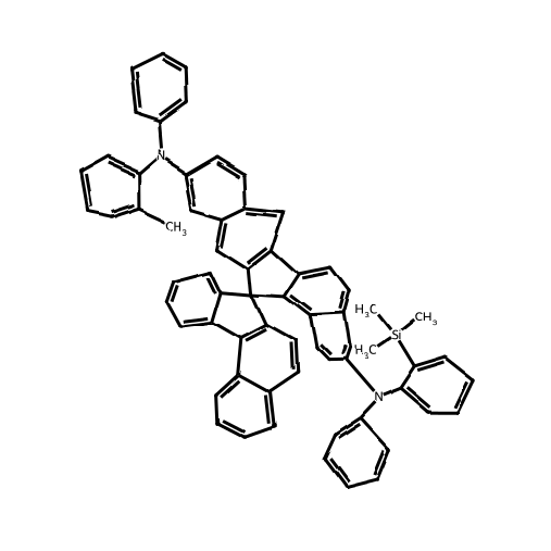 Cc1ccccc1N(c1ccccc1)c1ccc2cc3c(cc2c1)C1(c2ccccc2-c2c1ccc1ccccc21)c1c-3ccc2cc(N(c3ccccc3)c3ccccc3[Si](C)(C)C)ccc12